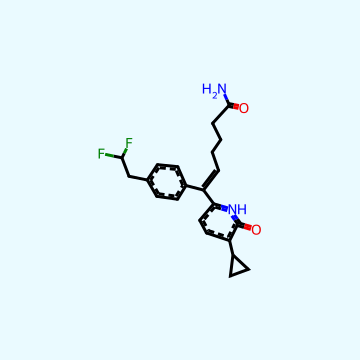 NC(=O)CCC/C=C(\c1ccc(CC(F)F)cc1)c1ccc(C2CC2)c(=O)[nH]1